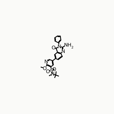 COc1ncc(-c2ccc3nc(N)n(-c4ccccc4)c(=O)c3c2)cc1S(=O)(=O)N(C)C(C)(C)C